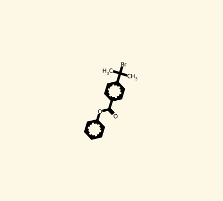 CC(C)(Br)c1ccc(C(=O)Oc2ccccc2)cc1